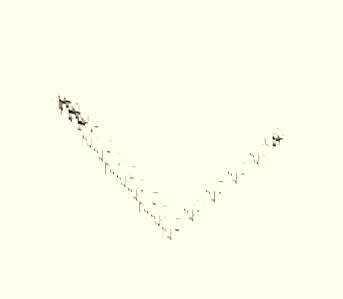 C[N+](C)(C)Cc1ccccc1.C[N+](C)(C)Cc1ccccc1.C[N+](C)(C)Cc1ccccc1.C[N+](C)(C)Cc1ccccc1.C[N+](C)(C)Cc1ccccc1.C[N+](C)(C)Cc1ccccc1.C[N+](C)(C)Cc1ccccc1.C[N+](C)(C)Cc1ccccc1.C[N+](C)(C)Cc1ccccc1.C[N+](C)(C)Cc1ccccc1.C[N+](C)(C)Cc1ccccc1.C[N+](C)(C)Cc1ccccc1.[O-]B([O-])[O-].[O-]B([O-])[O-].[O-]B([O-])[O-].[O-]B([O-])[O-]